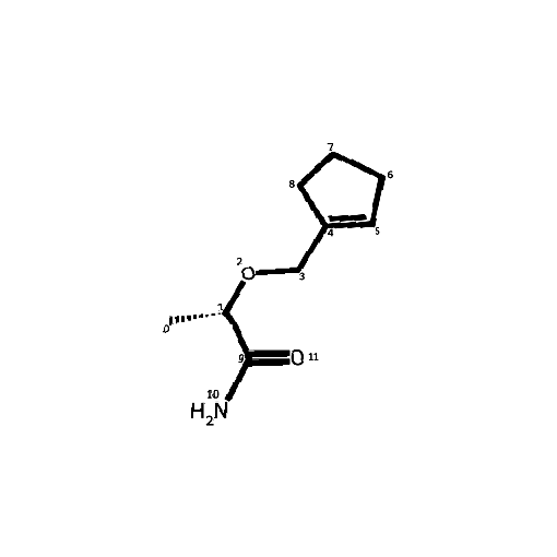 C[C@H](OCC1=CCCC1)C(N)=O